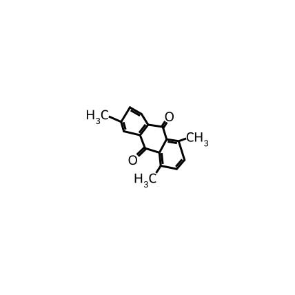 Cc1ccc2c(c1)C(=O)c1c(C)ccc(C)c1C2=O